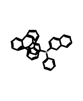 C1=CC2=CC=C(N(c3ccccc3)c3ccc4c(c3)-c3c5cccc3-c3cccc-4c3-c3ccccc3-5)CC2C=C1